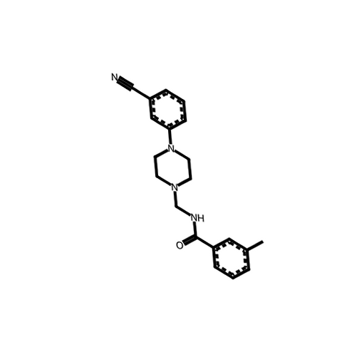 Cc1cccc(C(=O)NCN2CCN(c3cccc(C#N)c3)CC2)c1